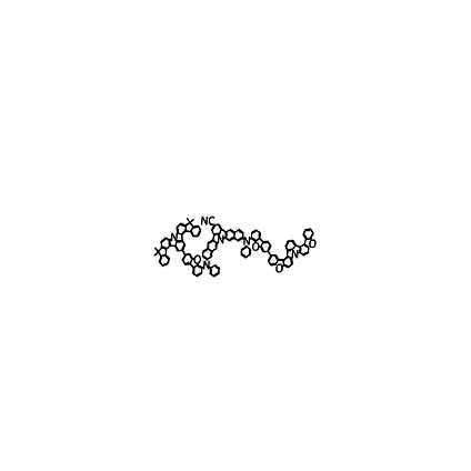 CC1(C)c2ccccc2-c2c1ccc1c2c2cc(-c3ccc4c(c3)oc3c(N(c5ccccc5)c5ccc6cc7c8cc(C#N)cc9c%10cc%11ccc(N(c%12ccccc%12)c%12cccc%13c%12oc%12cc(-c%14ccc%15oc%16ccc%17c(c%18cccc%19c%20c%21c(ccc%20n%17c%19%18)oc%17ccccc%17%21)c%16c%15c%14)ccc%12%13)cc%11cc%10n(c7cc6c5)c98)cccc34)cc3c4c5c(ccc4n1c23)C(C)(C)c1ccccc1-5